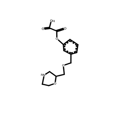 O=C(O)C(=O)Oc1cccc(COCC2CNCCO2)c1